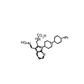 CC(C)[C@H]1CC[C@@H](N2CCC(n3c(CNC(=O)O)c(C=NO)c4cccnc43)CC2)CC1